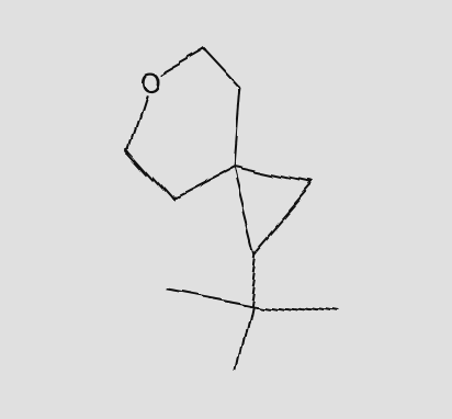 CC(C)(C)C1CC12CCOCC2